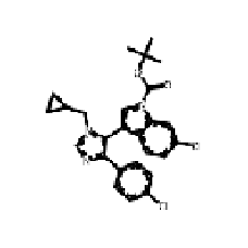 CC(C)(C)OC(=O)n1cc(-c2c(-c3ccc(Cl)cc3)ncn2CC2CC2)c2ccc(Cl)cc21